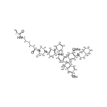 C=CC(=O)NCCCCCC(=O)N1CCN(c2ccc(C3(c4ccccc4)C=Cc4c5c(c6cc(N7CCC8CCCCC8C7)c(OC)cc6c4O3)-c3ccc(C(C)(C)C)cc3C5(C)C)cc2)CC1C